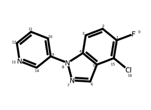 Fc1ccc2c(cnn2-c2cccnc2)c1Cl